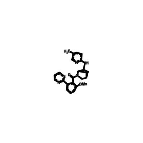 COc1cccc(-c2ncccn2)c1C(=O)N1CC2CCC1C(Nc1ccc(C)cn1)C2